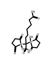 O=C(O)CCCCCC(C(=O)O)([N+]1(O)C(=O)CCC1=O)[N+]1(O)C(=O)CCC1=O